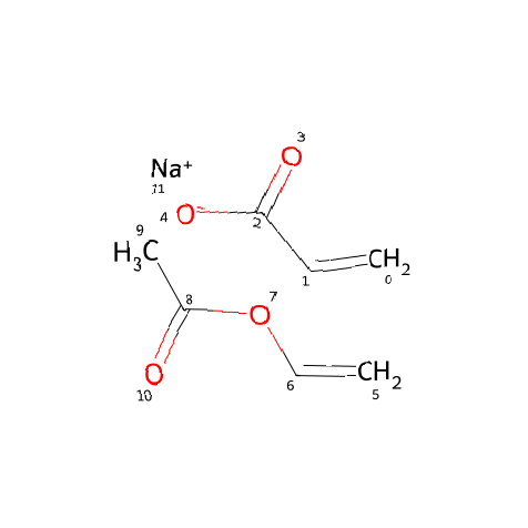 C=CC(=O)[O-].C=COC(C)=O.[Na+]